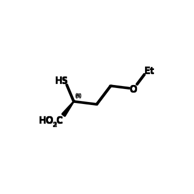 CCOCC[C@H](S)C(=O)O